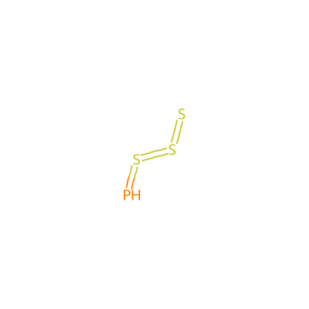 P=S=S=S